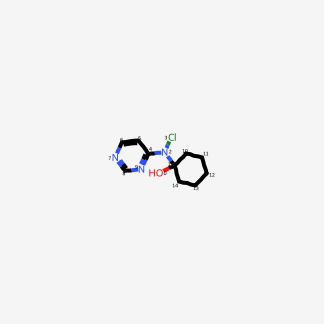 OC1(N(Cl)c2ccncn2)CCCCC1